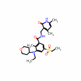 CCN(c1cc(S(=O)(=O)CC)cc(C(=O)NCc2c(C)cc(C)[nH]c2=O)c1C)C1CCOCC1